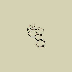 CC1(C)NCCC2c3ccccc3OC21